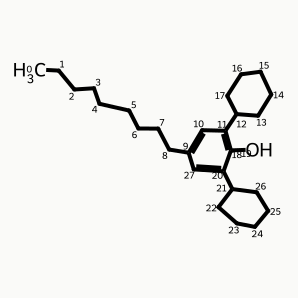 CCCCCCCCCc1cc(C2CCCCC2)c(O)c(C2CCCCC2)c1